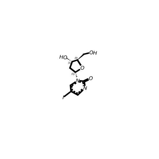 O=c1ncc(I)cn1[C@@H]1C[C@H](O)[C@@H](CO)O1